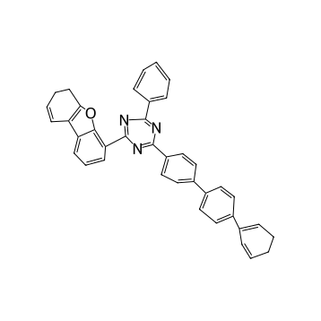 C1=CC(c2ccc(-c3ccc(-c4nc(-c5ccccc5)nc(-c5cccc6c7c(oc56)CCC=C7)n4)cc3)cc2)=CCC1